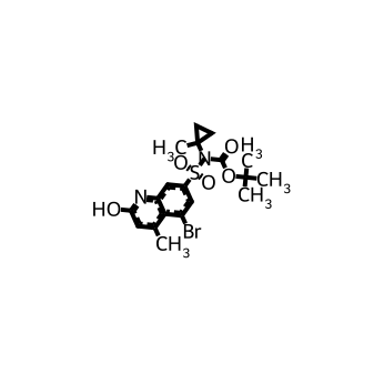 Cc1cc(O)nc2cc(S(=O)(=O)N(C(=O)OC(C)(C)C)C3(C)CC3)cc(Br)c12